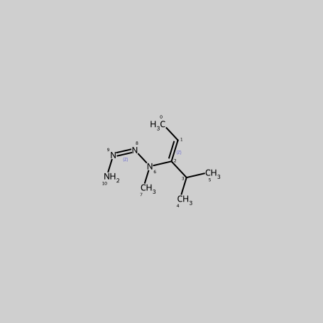 C/C=C(/C(C)C)N(C)/N=N\N